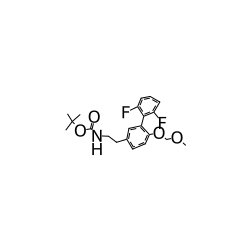 COCOc1ccc(CCNC(=O)OC(C)(C)C)cc1-c1c(F)cccc1F